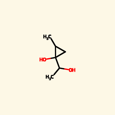 CC(O)C1(O)CC1C